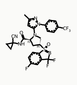 Cc1cc(N2C[C@H](S3(=O)=BC(F)(F)c4cc(F)ccc43)C[C@H]2C(=O)NC2(C#N)CC2)n(-c2ccc(C(F)(F)F)cc2)n1